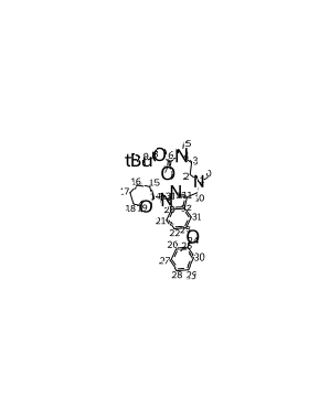 CN(CCN(C)C(=O)OC(C)(C)C)Cc1nn([C@H]2CCCCO2)c2ccc(Oc3ccccc3)cc12